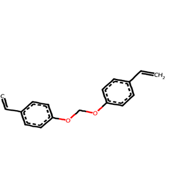 C=Cc1ccc(OCOc2ccc(C=C)cc2)cc1